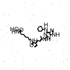 C=C/C(=C\C=C(/C)Nc1nc(NC2CCCCC2)c2nc[nH]c2n1)C(=O)NCCCCCC(=O)NO